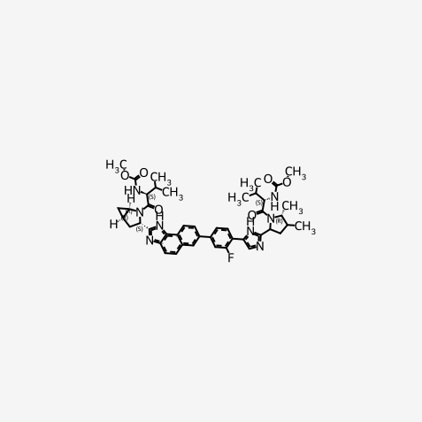 COC(=O)N[C@H](C(=O)N1C(c2ncc(-c3ccc(-c4ccc5c(ccc6nc([C@@H]7C[C@H]8C[C@H]8N7C(=O)[C@@H](NC(=O)OC)C(C)C)[nH]c65)c4)cc3F)[nH]2)CC(C)[C@H]1C)C(C)C